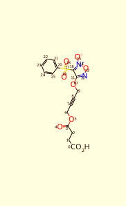 O=C(O)CCC(=O)OCC#CCOc1no[n+]([O-])c1S(=O)(=O)c1ccccc1